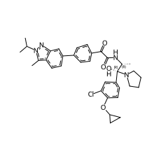 Cc1c2ccc(-c3ccc(C(=O)C(=O)N[C@H](C)[C@](O)(c4ccc(OC5CC5)c(Cl)c4)N4CCCC4)cc3)cc2nn1C(C)C